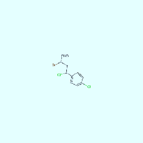 O=CC(Br)CC(Cl)c1ccc(Cl)cc1